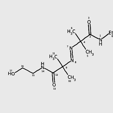 CCNC(=O)C(C)(C)N=NC(C)(C)C(=O)NCCO